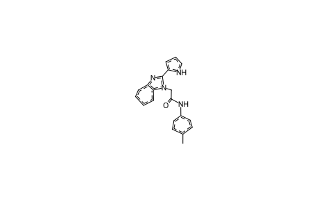 Cc1ccc(NC(=O)Cn2c(-c3ccc[nH]3)nc3ccccc32)cc1